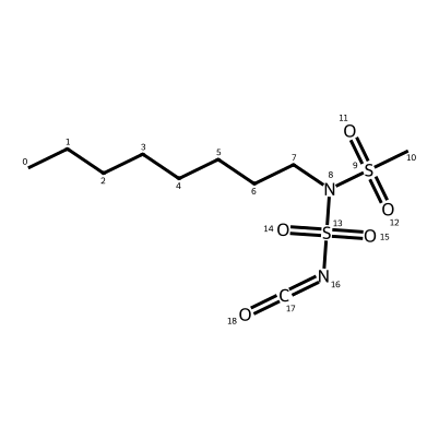 CCCCCCCCN(S(C)(=O)=O)S(=O)(=O)N=C=O